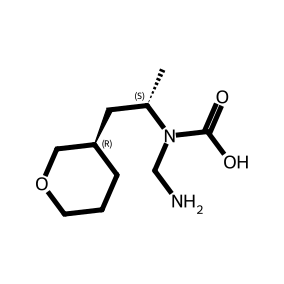 C[C@@H](C[C@H]1CCCOC1)N(CN)C(=O)O